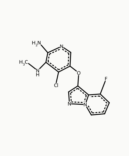 CNc1c(N)ncc(Oc2cnn3cccc(F)c23)c1Cl